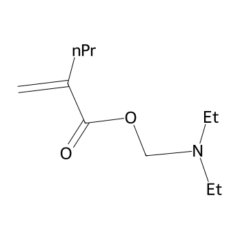 C=C(CCC)C(=O)OCN(CC)CC